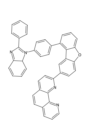 C1=CC2=NC(c3ccccc3)=[N+](c3ccc(-c4cccc5oc6ccc(-c7ccc8ccc9cccnc9c8n7)cc6c45)cc3)C2C=C1